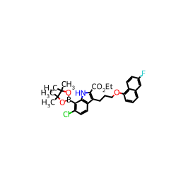 CCOC(=O)c1[nH]c2c(B3OC(C)(C)C(C)(C)O3)c(Cl)ccc2c1CCCOc1cccc2cc(F)ccc12